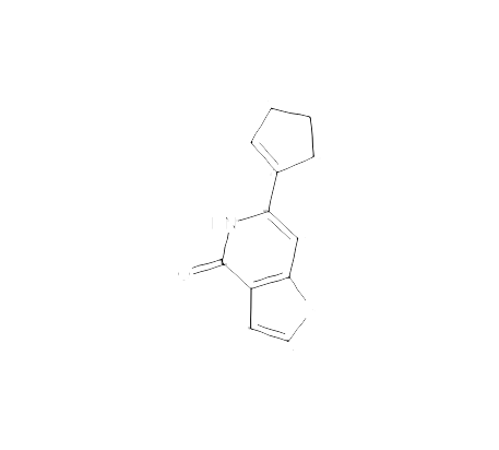 O=c1[nH]c(C2=CCCC2)cc2sccc12